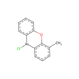 Cc1cccc2c1Oc1ccccc1[As]2Cl